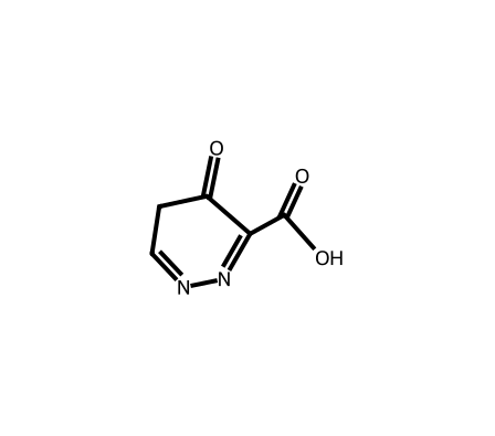 O=C(O)C1=NN=CCC1=O